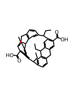 CCC1c2ccc3c(c2)C(CC)c2cc(c(C(=O)O)cc2C3)C(CC)c2ccc3c(c2)C(CC)c2cc1c(C(=O)O)cc2C3